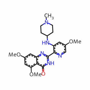 COc1cnc(-c2nc3cc(OC)cc(OC)c3c(=O)[nH]2)c(NC2CCN(C)CC2)c1